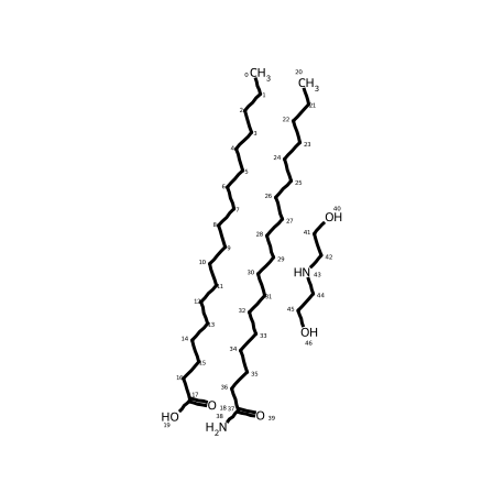 CCCCCCCCCCCCCCCCCC(=O)O.CCCCCCCCCCCCCCCCCC(N)=O.OCCNCCO